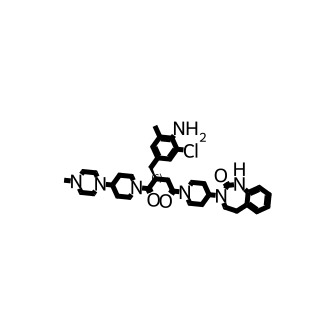 Cc1cc(C[C@@H](CC(=O)N2CCC(N3CCc4ccccc4NC3=O)CC2)C(=O)N2CCC(N3CCN(C)CC3)CC2)cc(Cl)c1N